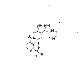 CC1C(=N)N(C(=N)c2cnccn2)CCN1C(=O)c1cccc(C(F)(F)F)c1Cl